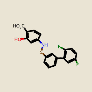 O=C(O)c1ccc(NSc2cccc(-c3cc(F)ccc3F)c2)cc1O